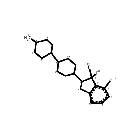 CC1CCC(C2CCC(C3Cc4cccc(F)c4C3(F)F)CC2)CC1